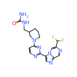 NC(=O)NCC1CCCN(c2ccnc(-c3cnc4cnc(C(F)F)cn34)n2)C1